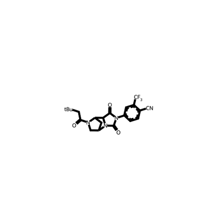 CC(C)(C)CC(=O)N1CC2CC1C1C(=O)N(c3ccc(C#N)c(C(F)(F)F)c3)C(=O)N21